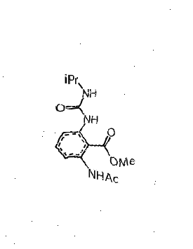 COC(=O)c1c(NC(C)=O)cccc1NC(=O)NC(C)C